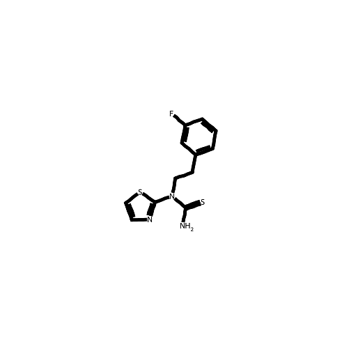 NC(=S)N(CCc1cccc(F)c1)c1nccs1